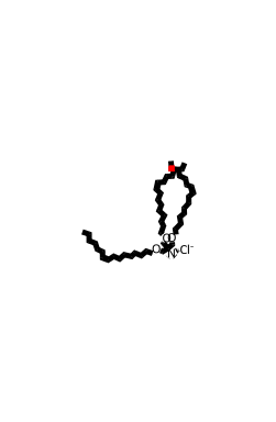 CCCCCC/C=C\CCCCCCCCOCC(COCCCCCCCC/C=C\CCCCCC)(COCCCCCCCC/C=C\CCCCCC)[N+](C)(C)C.[Cl-]